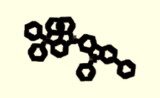 c1ccc(-c2ccc3c4ccc(-n5c6ccccc6c6c([Si](c7ccccc7)(c7ccccc7)c7ccccc7)cccc65)cc4n(-c4ccccc4)c3c2)cc1